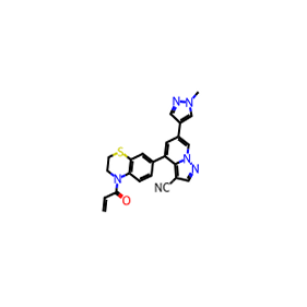 C=CC(=O)N1CCSc2cc(-c3cc(-c4cnn(C)c4)cn4ncc(C#N)c34)ccc21